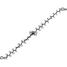 CCCCCCCCCCCCCCCCCCCCCCCCCCCPPCCCCCCCCCCCCCCCCCCCCCCCCCCC